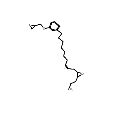 CCCC1OC1C/C=C\CCCCCCCc1cccc(OCC2CO2)c1